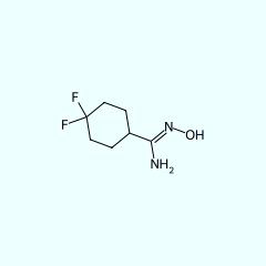 NC(=NO)C1CCC(F)(F)CC1